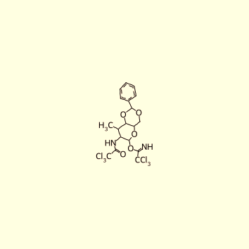 CC1C(NC(=O)C(Cl)(Cl)Cl)C(OC(=N)C(Cl)(Cl)Cl)OC2COC(c3ccccc3)OC21